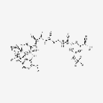 COc1ccc2c3c1O[C@H]1C(OC(=O)C(C)OC(=O)CCNC(=O)C(CCC(=O)O)NC(=O)OC(C)(C)C)=CC[C@@]4(O)[C@@H](C2)N(C)CC[C@]314